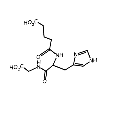 O=C(O)CCCC(=O)NC(Cc1c[nH]cn1)C(=O)NCC(=O)O